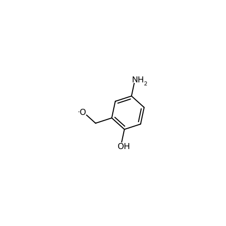 Nc1ccc(O)c(C[O])c1